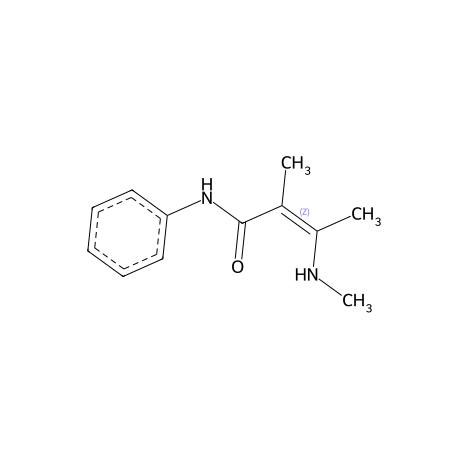 CN/C(C)=C(/C)C(=O)Nc1ccccc1